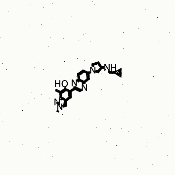 Cc1c(O)c(-c2cnc3cc(N4CCC(NCC5CC5)C4)ccc3n2)cc2cn(C)nc12